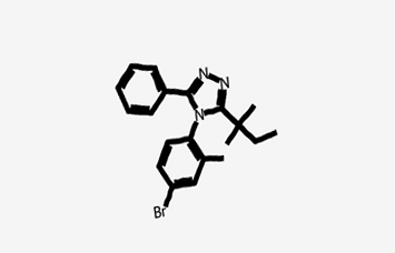 CCC(C)(C)c1nnc(-c2ccccc2)n1-c1ccc(Br)cc1C